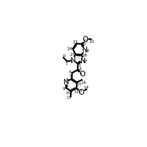 CCn1c(C(=O)Cc2ncc(C)c(OC)c2C)nc2nc(OC)ccc21